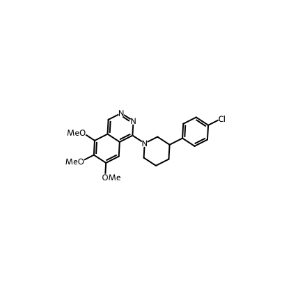 COc1cc2c(N3CCCC(c4ccc(Cl)cc4)C3)nncc2c(OC)c1OC